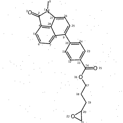 CN1C(=O)c2cccc3c(-c4ccc(C(=O)OCCCC5CO5)cc4)ccc1c23